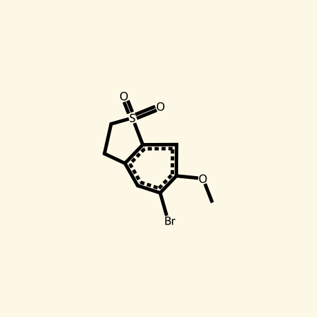 COc1cc2c(cc1Br)CCS2(=O)=O